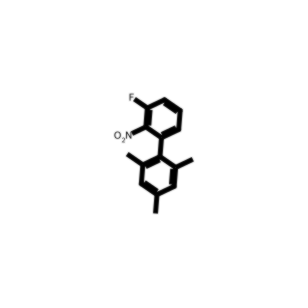 Cc1cc(C)c(-c2cccc(F)c2[N+](=O)[O-])c(C)c1